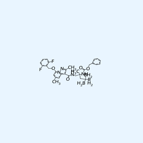 BC(B)(B)CC(C)(CNC(=O)c1c(C)nn2c(OCc3c(F)cccc3F)cc(C)cc12)NC(=O)OCc1ccccc1